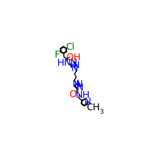 Cc1ccc(CNC(=O)c2cn(CCCCn3cc(NC(O)Cc4cc(Cl)ccc4F)nn3)nn2)cn1